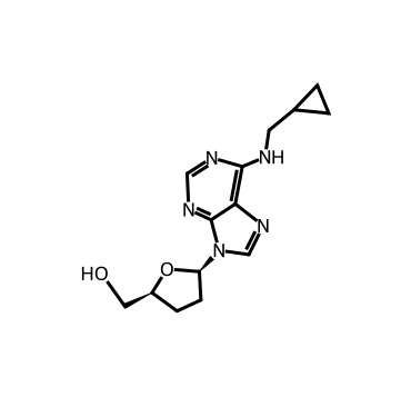 OC[C@@H]1CC[C@H](n2cnc3c(NCC4CC4)ncnc32)O1